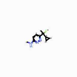 CNc1ccc(C(C)(F)C2CC2)nn1